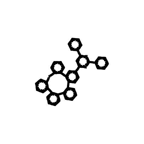 c1ccc(-c2cc(-c3ccc4c(c3)-c3ccccc3Sc3ccccc3-c3ccccc3-c3ccccc3-4)nc(-c3ccccc3)n2)cc1